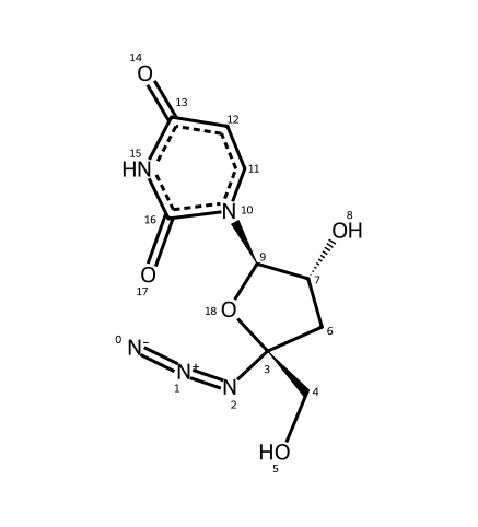 [N-]=[N+]=N[C@@]1(CO)C[C@@H](O)[C@H](n2ccc(=O)[nH]c2=O)O1